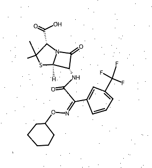 CC1(C)S[C@@H]2[C@@H](NC(=O)/C(=N\OC3CCCCC3)c3cccc(C(F)(F)F)c3)C(=O)N2[C@H]1C(=O)O